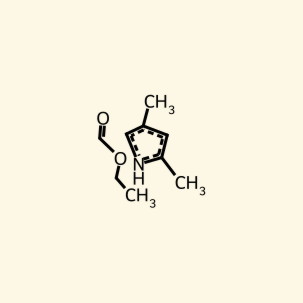 CCOC=O.Cc1c[nH]c(C)c1